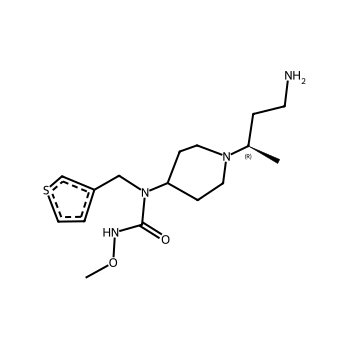 CONC(=O)N(Cc1ccsc1)C1CCN([C@H](C)CCN)CC1